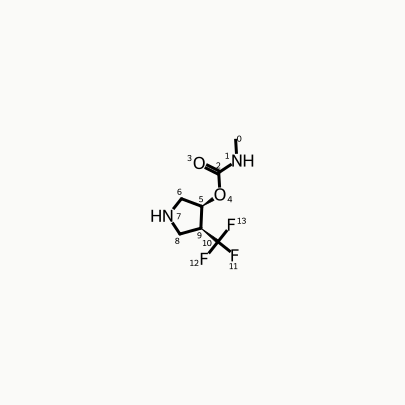 CNC(=O)O[C@@H]1CNC[C@@H]1C(F)(F)F